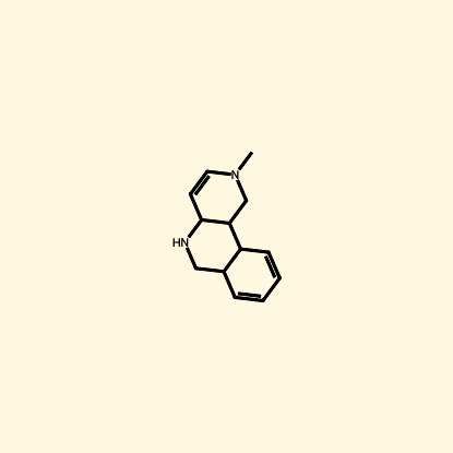 CN1C=CC2NCC3C=CC=CC3C2C1